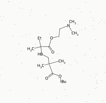 CCC(C)(BCC(C)(C)C(=O)OC(C)(C)C)C(=O)OCCN(C)C